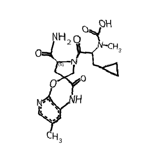 Cc1cnc2c(c1)NC(=O)C1(C[C@@H](C(N)=O)N(C(=O)C(CC3CC3)N(C)C(=O)O)C1)O2